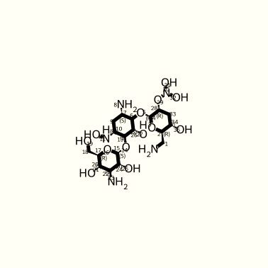 NC[C@H]1O[C@H](OC2[C@@H](N)C[C@@H](NO)[C@H](O[C@H]3O[C@H](CO)[C@@H](O)[C@H](N)[C@H]3O)[C@H]2O)[C@H](ON(O)O)C[C@@H]1O